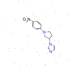 O=[N+]([O-])c1ccc(N2CCC(n3ccnc3)C2)cc1